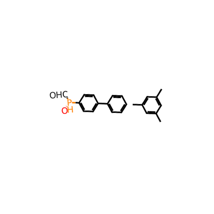 Cc1cc(C)cc(C)c1.O=C[PH](=O)c1ccc(-c2ccccc2)cc1